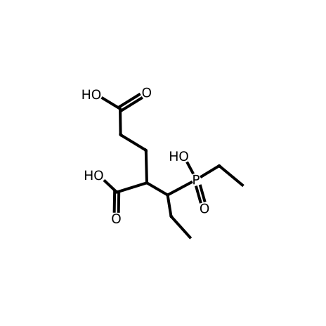 CCC(C(CCC(=O)O)C(=O)O)P(=O)(O)CC